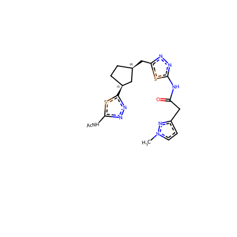 CC(=O)Nc1nnc([C@H]2CC[C@@H](Cc3nnc(NC(=O)Cc4ccn(C)n4)s3)C2)s1